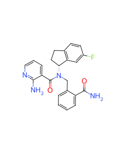 NC(=O)c1ccccc1CN(C(=O)c1cccnc1N)[C@@H]1CCc2ccc(F)cc21